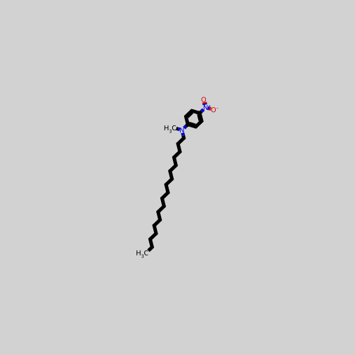 CCCCCCCCCCCCCCCCCCN(C)c1ccc([N+](=O)[O-])cc1